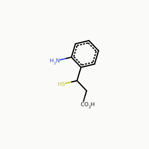 Nc1ccccc1C(S)CC(=O)O